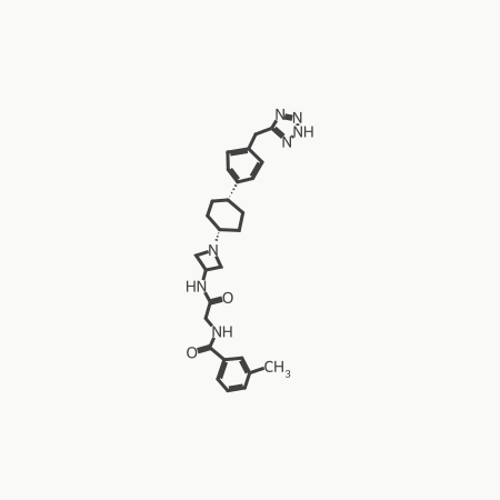 Cc1cccc(C(=O)NCC(=O)NC2CN([C@H]3CC[C@@H](c4ccc(Cc5nn[nH]n5)cc4)CC3)C2)c1